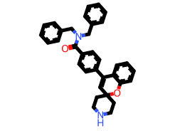 O=C(c1ccc(C2=CC3(CCNCC3)Oc3ccccc32)cc1)N(Cc1ccccc1)Cc1ccccc1